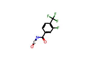 O=C=NC(=O)c1ccc(C(F)(F)F)c(F)c1